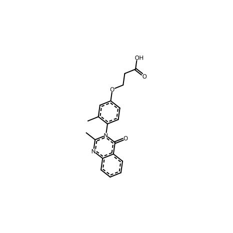 Cc1cc(OCCC(=O)O)ccc1-n1c(C)nc2ccccc2c1=O